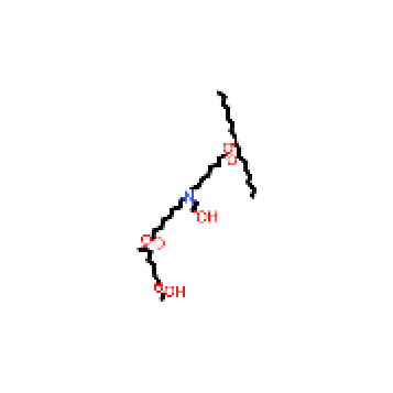 CCCCCCCCC(CCCCCCCC)OC(=O)CCCCCCCN(CCO)CCCCCCCC(=O)OC(C)CCCCCOC(C)O